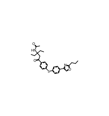 CCCc1nc(-c2ccc(Sc3ccc(C(=O)CC(CC)(CC)NC(C)=O)cc3)cc2)co1